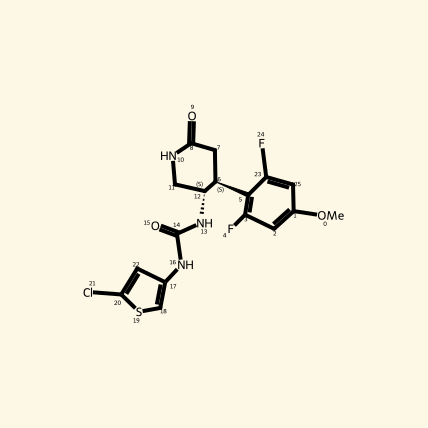 COc1cc(F)c([C@@H]2CC(=O)NC[C@H]2NC(=O)Nc2csc(Cl)c2)c(F)c1